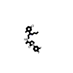 C=C(NCC/C(=C/CCC)c1cc(Cl)ccc1C)C1CCN(c2ccc(F)c(F)c2)C1=O